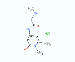 CNCC(=O)Nc1cc(C)n(C)c(=O)c1.Cl